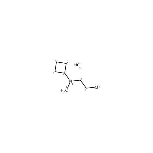 CN(CCCl)C1CCC1.Cl